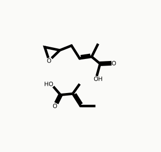 C/C(=C\CC1CO1)C(=O)O.C/C=C(\C)C(=O)O